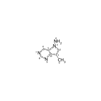 Cc1cn(N)c2cncnc12